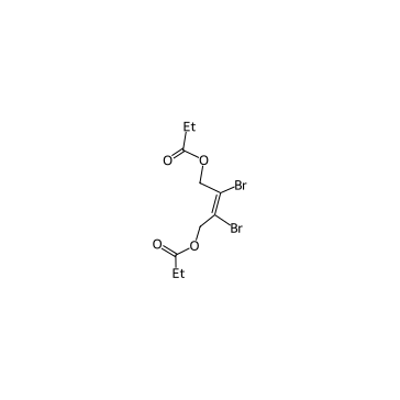 CCC(=O)OC/C(Br)=C(/Br)COC(=O)CC